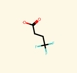 [O]C(=O)CCC(F)(F)F